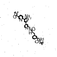 CN(C)C(=O)c1ccc(-c2cc(-c3ccnc(CNC(=O)CCc4cccc(NC(=O)OC(C)(C)C)c4)c3)cnc2N)nc1